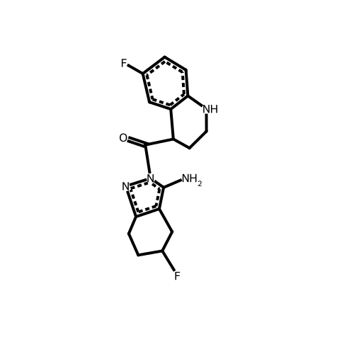 Nc1c2c(nn1C(=O)C1CCNc3ccc(F)cc31)CCC(F)C2